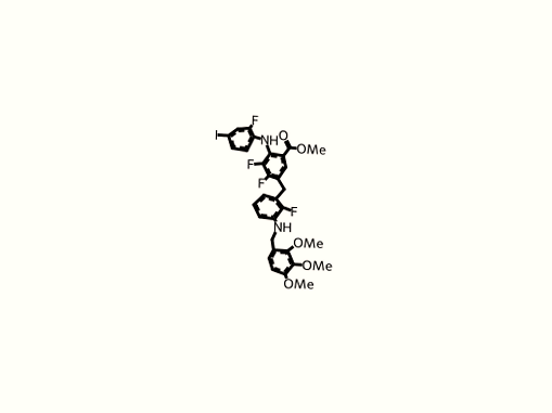 COC(=O)c1cc(Cc2cccc(NCc3ccc(OC)c(OC)c3OC)c2F)c(F)c(F)c1Nc1ccc(I)cc1F